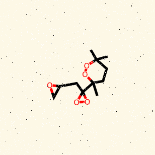 CC1(C)CCC(C)(C2(CC3CO3)OO2)OO1